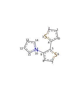 [c]1ccsc1-c1sccc1-n1cccc1